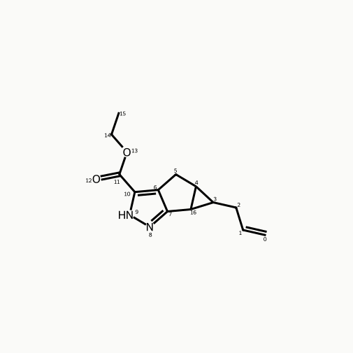 C=CCC1C2Cc3c(n[nH]c3C(=O)OCC)C12